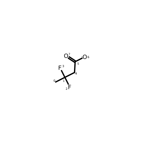 CC(F)(F)CC([O])=O